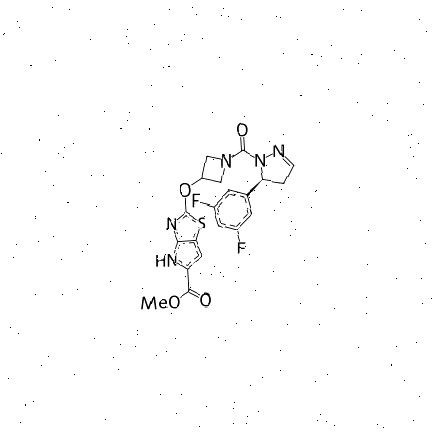 COC(=O)c1cc2sc(OC3CN(C(=O)N4N=CC[C@H]4c4cc(F)cc(F)c4)C3)nc2[nH]1